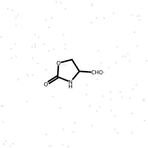 O=[C]C1COC(=O)N1